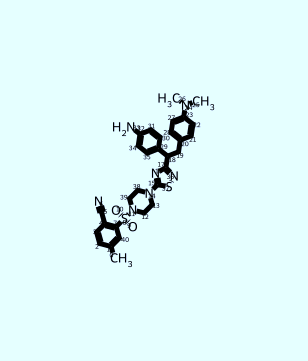 Cc1ccc(C#N)c(S(=O)(=O)N2CCN(c3nc(C(Cc4ccc(N(C)C)cc4)c4ccc(N)cc4)ns3)CC2)c1